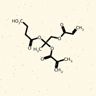 C=CC(=O)OCC(C)(OC(=O)CCC(=O)O)OC(=O)C(=C)C